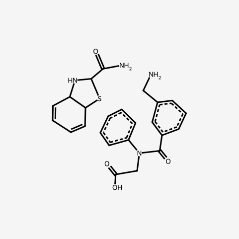 NC(=O)C1NC2C=CC=CC2S1.NCc1cccc(C(=O)N(CC(=O)O)c2ccccc2)c1